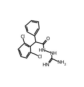 N=C(N)NNC(=O)C(c1ccccc1)c1c(Cl)cccc1Cl